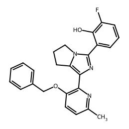 Cc1ccc(OCc2ccccc2)c(-c2nc(-c3cccc(F)c3O)n3c2CCC3)n1